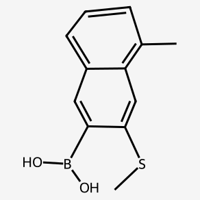 CSc1cc2c(C)cccc2cc1B(O)O